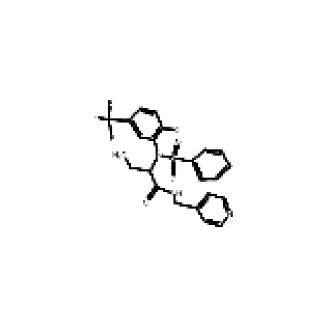 CCC(C(=O)NCc1ccncc1)N(c1cc(C(F)(F)F)ccc1Cl)S(=O)(=O)c1ccccc1